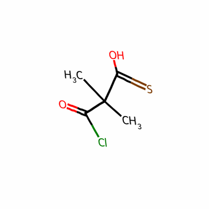 CC(C)(C(=O)Cl)C(O)=S